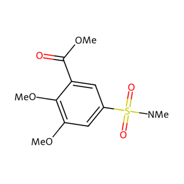 CNS(=O)(=O)c1cc(OC)c(OC)c(C(=O)OC)c1